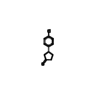 O=C1CCC(c2ccc(Cl)cc2)C1